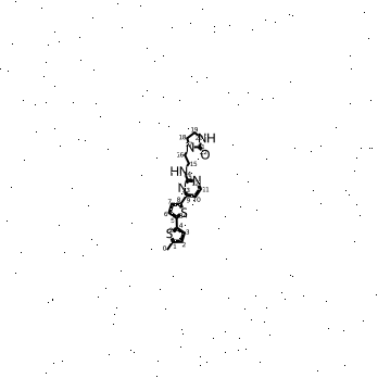 Cc1ccc(-c2ccc(-c3ccnc(NCCN4CCNC4=O)n3)s2)s1